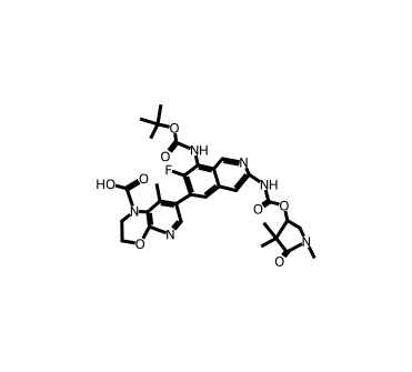 Cc1c(-c2cc3cc(NC(=O)OC4CN(C)C(=O)C4(C)C)ncc3c(NC(=O)OC(C)(C)C)c2F)cnc2c1N(C(=O)O)CCO2